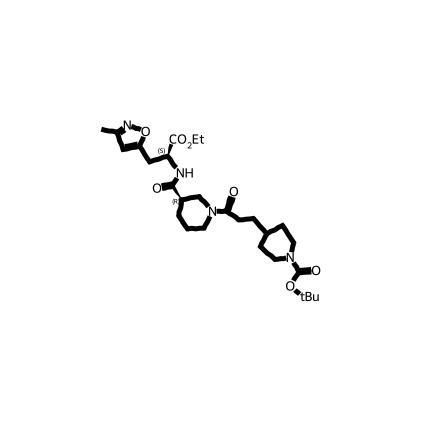 CCOC(=O)[C@H](Cc1cc(C)no1)NC(=O)[C@@H]1CCCN(C(=O)CCC2CCN(C(=O)OC(C)(C)C)CC2)C1